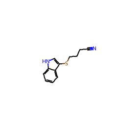 N#CCCCSc1c[nH]c2ccccc12